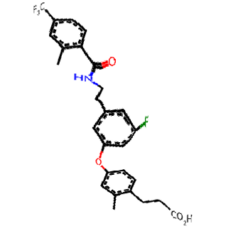 Cc1cc(Oc2cc(F)cc(CCNC(=O)c3ccc(C(F)(F)F)cc3C)c2)ccc1CCC(=O)O